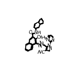 N#Cc1cnn(-c2ncccn2)c1/N=N/c1c(O)c(C(=O)Nc2ccc3ccccc3c2)cc2ccccc12